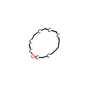 [CH]1CCCCCCC[CH]COCCCCC1